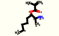 C=C(C)C(=O)OC(CCCCC)C(C)N